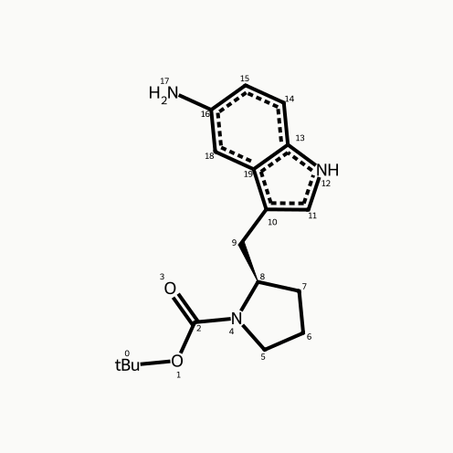 CC(C)(C)OC(=O)N1CCC[C@@H]1Cc1c[nH]c2ccc(N)cc12